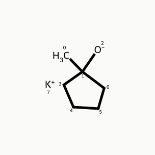 CC1([O-])CCCC1.[K+]